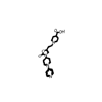 O=C(O)C1CCN(CCC2CN(C3CCN(c4ccncc4)CC3)C(=O)O2)CC1